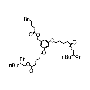 CCCCC(CC)COC(=O)CCCCOc1cc(COC(=O)CCCBr)cc(OCCCCC(=O)OCC(CC)CCCC)c1